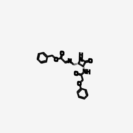 O=C(COc1ccccc1)N[C@H]1C(=O)N[C@H]1CN=CC(=O)OCc1ccccc1